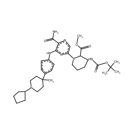 COC(=O)C1C(NC(=O)OC(C)(C)C)CCCN1c1cnc(C(N)=O)c(Nc2ccc(C3(C)CCN(C4CCCC4)CC3)cc2)n1